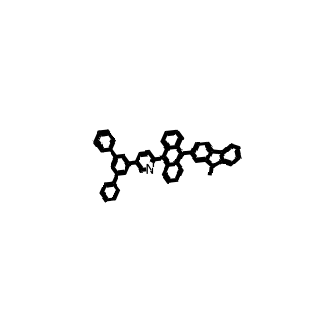 CC1c2ccccc2-c2ccc(-c3c4ccccc4c(-c4ccc(-c5cc(-c6ccccc6)cc(-c6ccccc6)c5)cn4)c4ccccc34)cc21